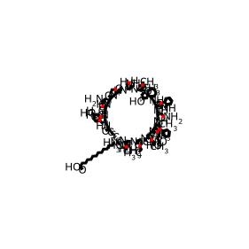 CCCC[C@H]1C(=O)N(C)[C@@H](CCCC)C(=O)N[C@@H](CC(C)C)C(=O)N[C@H](C(O)NCCCCCCCCCCCCC(=O)O)CSCC(=O)N[C@@H](Cc2ccc(O)cc2)C(=O)N(C)[C@@H](C)C(=O)N[C@@H](CC(N)=O)C(=O)N2CCC[C@@H]2C(=O)N[C@@H](CN)C(=O)N[C@@H](CC(C)C)C(=O)N2C[C@@H](O)CC23OCCCC=C3N[C@@H](Cc2c[nH]c3ccccc23)C(=O)N[C@@H](CCN)C(=O)N[C@@H]([C@H](C)c2cn(CC(=O)O)c3ccccc23)C(=O)N1C